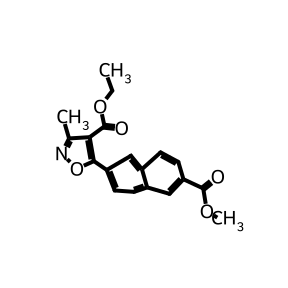 CCOC(=O)c1c(C)noc1-c1ccc2cc(C(=O)OC)ccc2c1